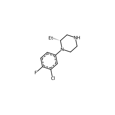 CC[C@@H]1CNCCN1c1ccc(F)c(Cl)c1